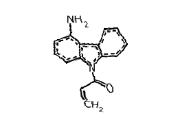 C=CC(=O)n1c2ccccc2c2c(N)cccc21